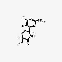 C[C@@]1(c2cc([N+](=O)[O-])cc(F)c2F)CC[C@](F)(CF)C(=S)N1